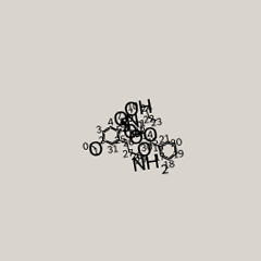 COc1ccc(S(=O)(=O)N(O)[C@@H](C(=O)OCc2ccccc2)C(C)C)c(CCC(N)=O)c1